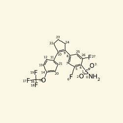 NS(=O)(=O)c1c(F)cc(C2=C(c3ccc(OC(F)(F)F)cc3)CCC2)cc1F